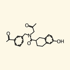 CC(=O)CN(Cc1cccc(C(C)=O)c1)C(=O)C1CCc2cc(O)ccc2C1